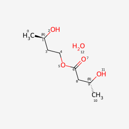 C[C@@H](O)CCOC(=O)C[C@@H](C)O.O